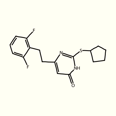 O=c1cc(CCc2c(F)cccc2F)nc(SC2CCCC2)[nH]1